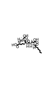 CCCCCCC(=O)N[C@@H](C(=O)O)[C@H](C)NC(=O)N[C@@H](CCC[C@@H](N)C(=O)O)C(=O)N[C@H](C)C(=O)O